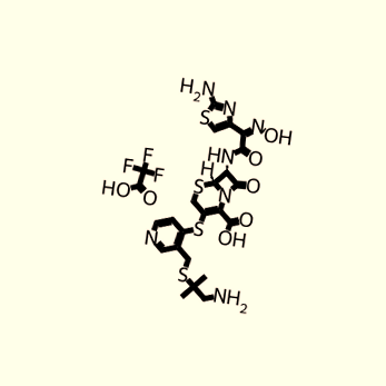 CC(C)(CN)SCc1cnccc1SC1=C(C(=O)O)N2C(=O)[C@@H](NC(=O)/C(=N\O)c3csc(N)n3)[C@@H]2SC1.O=C(O)C(F)(F)F